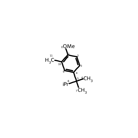 COc1ccc(C(C)(C)C(C)C)cc1C